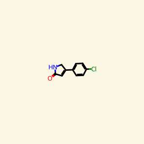 O=C1C=C(c2ccc(Cl)cc2)CN1